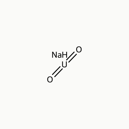 [NaH].[O]=[U]=[O]